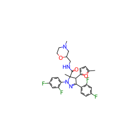 Cc1ccc(C2C(c3ccc(F)cc3F)=NN(c3ccc(F)cc3F)C2(C)C(=O)NCC2CN(C)CCO2)o1